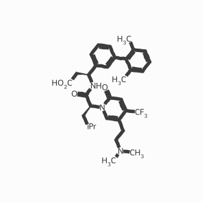 Cc1cccc(C)c1-c1cccc([C@H](CC(=O)O)NC(=O)[C@H](CC(C)C)n2cc(CCN(C)C)c(C(F)(F)F)cc2=O)c1